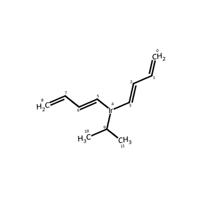 C=CC=[CH][Ir]([CH]=CC=C)[CH](C)C